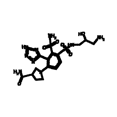 NCC(O)CNS(=O)(=O)c1ccc(N2CCC(C(N)=O)C2)c(-c2nn[nH]n2)c1S(N)(=O)=O